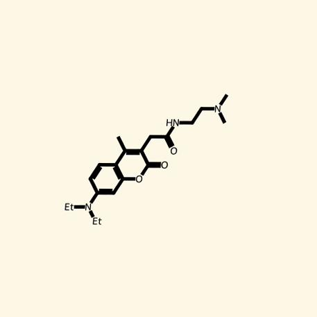 CCN(CC)c1ccc2c(C)c(CC(=O)NCCN(C)C)c(=O)oc2c1